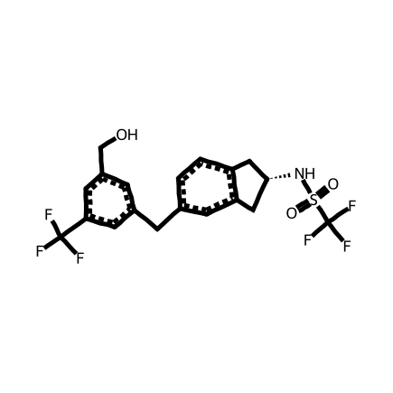 O=S(=O)(N[C@H]1Cc2ccc(Cc3cc(CO)cc(C(F)(F)F)c3)cc2C1)C(F)(F)F